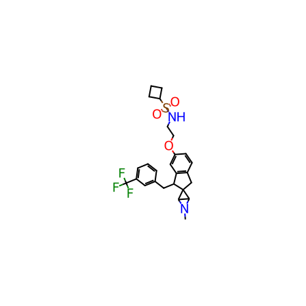 CN1C2C1C21Cc2ccc(OCCNS(=O)(=O)C3CCC3)cc2C1Cc1cccc(C(F)(F)F)c1